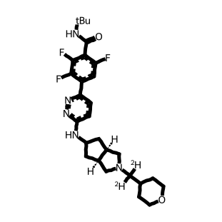 [2H]C([2H])(C1CCOCC1)N1C[C@H]2CC(Nc3ccc(-c4cc(F)c(C(=O)NC(C)(C)C)c(F)c4F)nn3)C[C@H]2C1